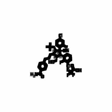 CC(C)(C)C[C@@H]1N(CCCc2ccc(C(N)=O)cc2)[C@@H](CO)[C@H](c2cccc(Cl)c2F)[C@@]1(C#N)c1ccc(Cl)cc1F.O=C(O)C(F)(F)F